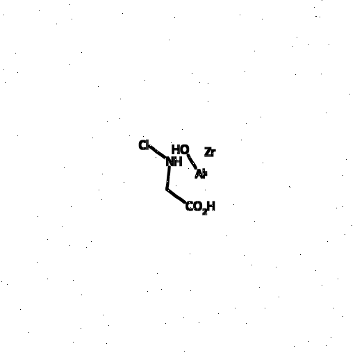 O=C(O)CNCl.[OH][Al].[Zr]